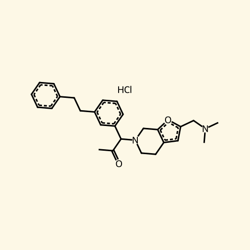 CC(=O)C(c1cccc(CCc2ccccc2)c1)N1CCc2cc(CN(C)C)oc2C1.Cl